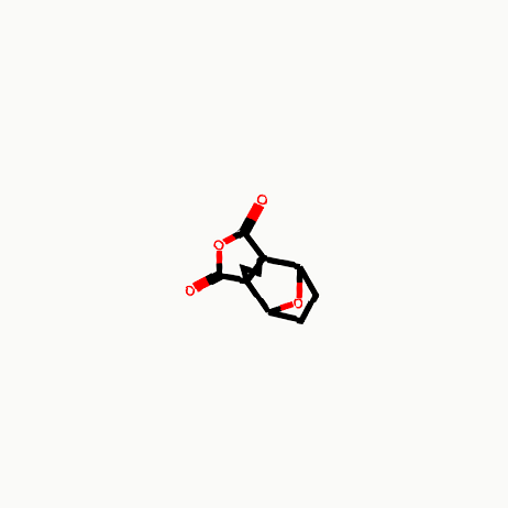 O=C1OC(=O)C23CCCC12C1CCC3O1